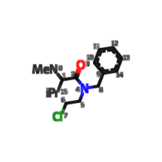 CNC(C(=O)N(CCCl)Cc1ccccc1)C(C)C